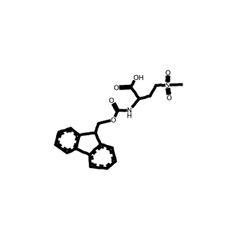 CS(=O)(=O)CCC(NC(=O)OCC1c2ccccc2-c2ccccc21)C(=O)O